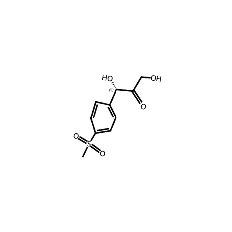 CS(=O)(=O)c1ccc([C@H](O)C(=O)CO)cc1